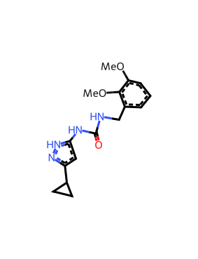 COc1cccc(CNC(=O)Nc2cc(C3CC3)n[nH]2)c1OC